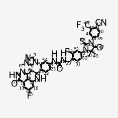 Cn1ncnc1[C@H]1c2n[nH]c(=O)c3cc(F)cc(c23)N[C@@H]1c1ccc(NC(=O)NCc2ccc(N3C(=S)N(c4ccc(C#N)c(C(F)(F)F)c4)C(=O)C3(C)C)cc2F)cc1